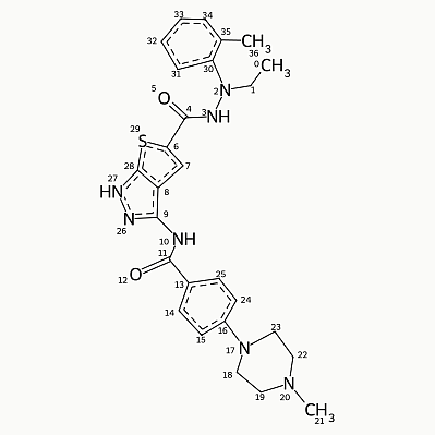 CCN(NC(=O)c1cc2c(NC(=O)c3ccc(N4CCN(C)CC4)cc3)n[nH]c2s1)c1ccccc1C